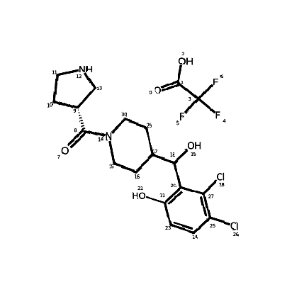 O=C(O)C(F)(F)F.O=C([C@@H]1CCNC1)N1CCC(C(O)c2c(O)ccc(Cl)c2Cl)CC1